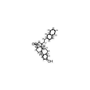 C[C@]12CC[C@@H]3c4ccc(O)cc4CC[C@H]3[C@@H]1[C@H](CCc1ccc3ccccc3c1)CC2=O